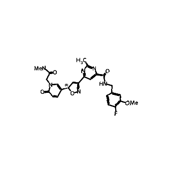 CNC(=O)Cn1cc([C@H]2CC(c3cc(C(=O)NCc4ccc(F)c(OC)c4)nc(C)n3)=NO2)ccc1=O